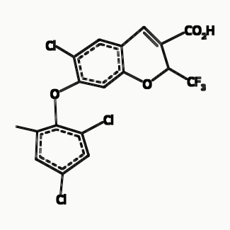 Cc1cc(Cl)cc(Cl)c1Oc1cc2c(cc1Cl)C=C(C(=O)O)C(C(F)(F)F)O2